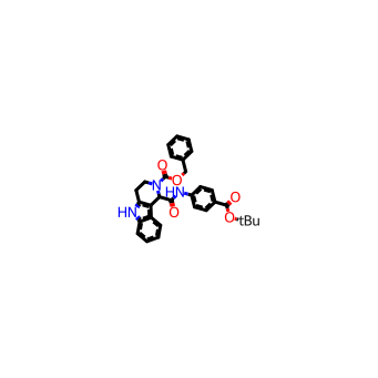 CC(C)(C)OC(=O)c1ccc(NC(=O)C2c3c([nH]c4ccccc34)CCN2C(=O)OCc2ccccc2)cc1